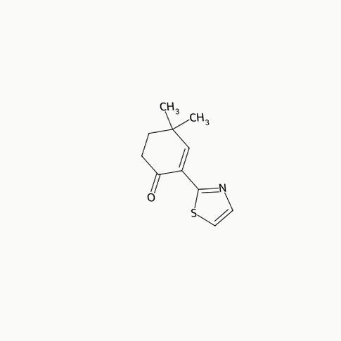 CC1(C)C=C(c2nccs2)C(=O)CC1